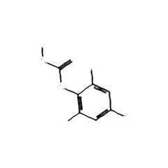 Cc1cc(Br)cc(C(C)(C)C)c1NC(=S)NC(C)(C)C